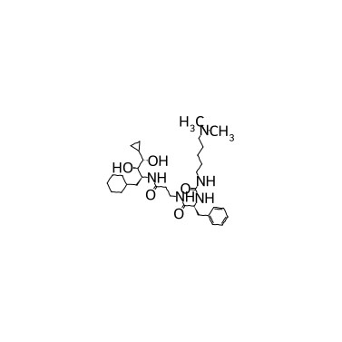 CN(C)CCCCCNC(=O)N[C@@H](Cc1ccccc1)C(=O)NCCC(=O)N[C@@H](CC1CCCCC1)[C@@H](O)[C@@H](O)C1CC1